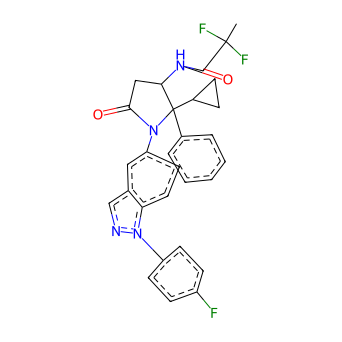 CC(F)(F)C(=O)NC1CC(=O)N(c2ccc3c(cnn3-c3ccc(F)cc3)c2)C1(c1ccccc1)C1CC1